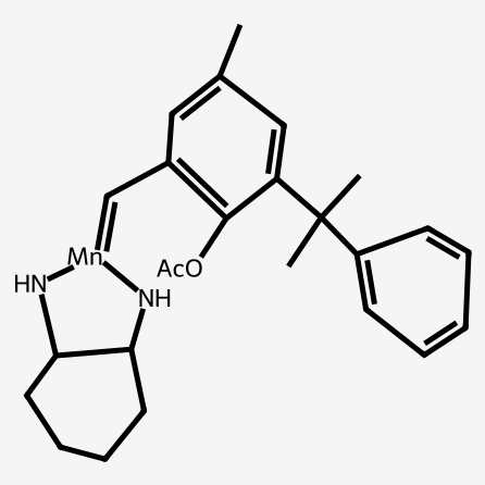 CC(=O)Oc1c([CH]=[Mn]2[NH]C3CCCCC3[NH]2)cc(C)cc1C(C)(C)c1ccccc1